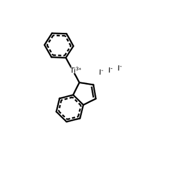 C1=C[CH]([Ti+3][c]2ccccc2)c2ccccc21.[I-].[I-].[I-]